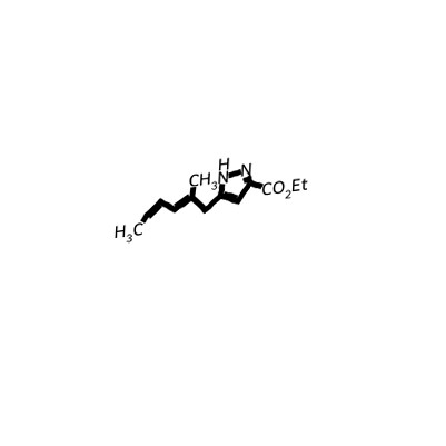 C/C=C\C=C(/C)Cc1cc(C(=O)OCC)n[nH]1